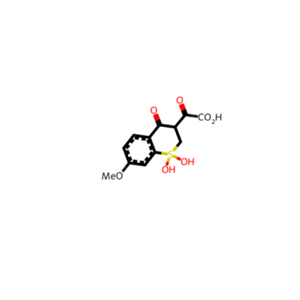 COc1ccc2c(c1)S(O)(O)CC(C(=O)C(=O)O)C2=O